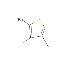 Cc1csc(C(C)(C)C)c1C